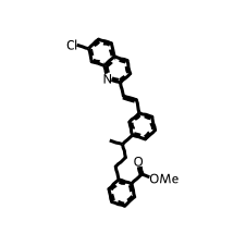 COC(=O)c1ccccc1CCC(C)c1cccc(/C=C/c2ccc3ccc(Cl)cc3n2)c1